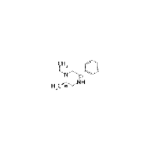 CCN1C[C@H](c2ccccc2)NC[C@H]1C